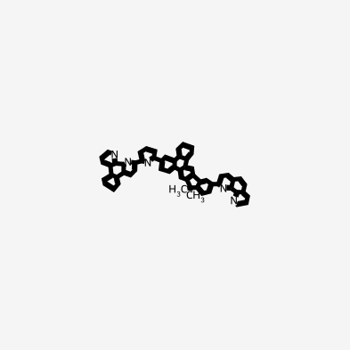 CC1(C)c2ccc(-c3ccc4ccc5cccnc5c4n3)cc2-c2cc3c4ccccc4c4cc(-c5cccc(-c6ccc7c8ccccc8c8cccnc8c7n6)n5)ccc4c3cc21